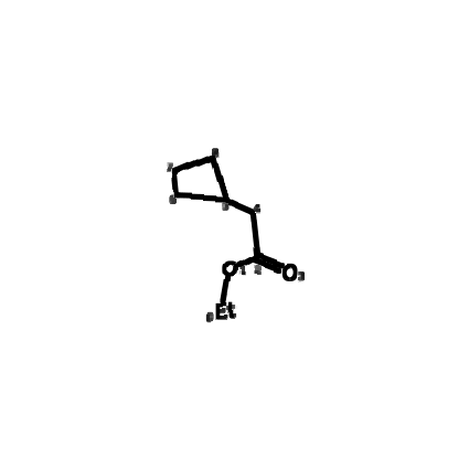 [CH2]COC(=O)CC1CCC1